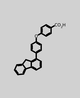 O=C(O)c1ccc(Oc2ccc(-c3cccc4c3Cc3ccccc3-4)cc2)cc1